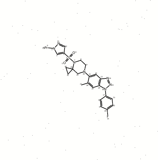 CCCn1cc(S(=O)(=O)N2CCN(c3cc4nnn(-c5ccc(F)cc5)c4cc3C)CC23CC3)cn1